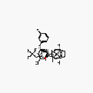 Fc1cccc(Oc2nc(N[C@@H]3[C@@H]4CC[C@H]3CN(c3ccnc(Cl)c3)C4)nn2CC(F)(F)F)c1